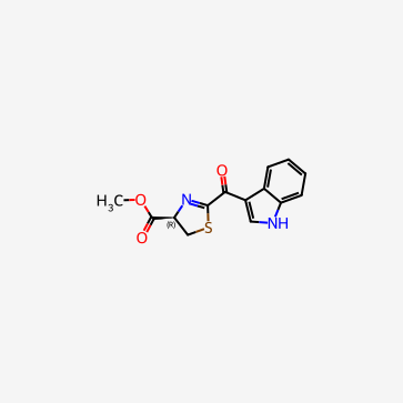 COC(=O)[C@@H]1CSC(C(=O)c2c[nH]c3ccccc23)=N1